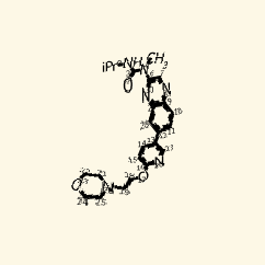 CC(C)NC(=O)N(C)c1cnc2ccc(-c3ccc(OCCN4CCOCC4)nc3)cc2n1